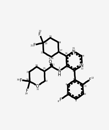 O=C(Nc1c(-c2cc(F)ccc2F)ncnc1C1CCC(F)(F)CC1)C1CCC(F)(F)OC1